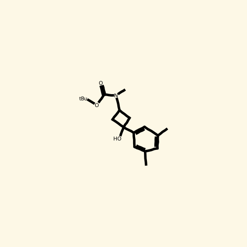 Cc1cc(C)cc(C2(O)CC(N(C)C(=O)OC(C)(C)C)C2)c1